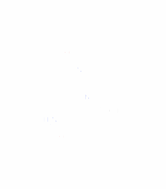 Cc1cn(CCN2CCOCC2)c2cc(C(N)=O)ccc12